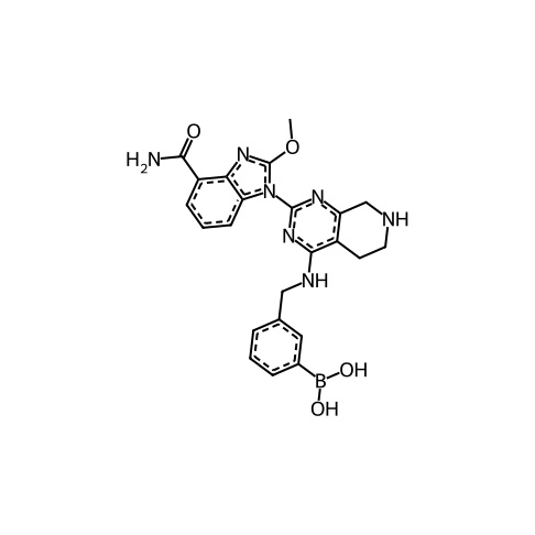 COc1nc2c(C(N)=O)cccc2n1-c1nc2c(c(NCc3cccc(B(O)O)c3)n1)CCNC2